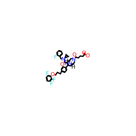 COC(=O)CCCC(=O)N1C[C@H]2CC(c3ccc(CCCOc4c(F)ccc(F)c4F)cc3)=C(C(=O)N(Cc3ccccc3F)C3CC3)[C@@H](C1)N2